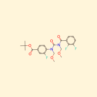 COCN(C(=O)c1cccc(F)c1F)C(=O)N(COC)c1ccc(C(=O)OC(C)(C)C)cc1F